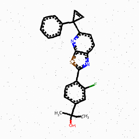 CC(C)(O)c1ccc(-c2nc3ccc(C4(c5ccccc5)C=C4)nc3s2)c(F)c1